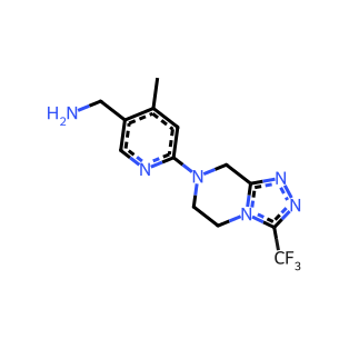 Cc1cc(N2CCn3c(nnc3C(F)(F)F)C2)ncc1CN